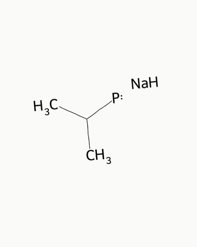 CC(C)[P].[NaH]